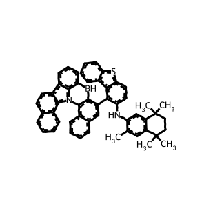 Cc1cc2c(cc1Nc1ccc3sc4ccccc4c3c1-c1cc3ccccc3c3c1Bc1cccc4c5ccc6ccccc6c5n-3c14)C(C)(C)CCC2(C)C